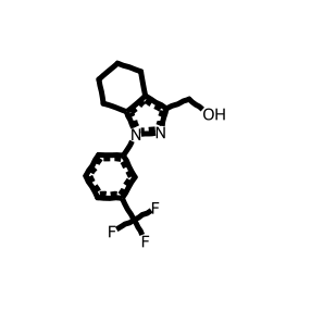 OCc1nn(-c2cccc(C(F)(F)F)c2)c2c1CCCC2